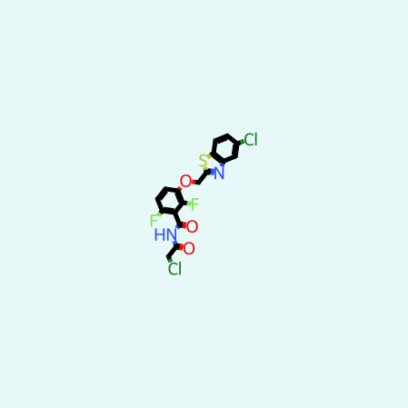 O=C(CCl)NC(=O)c1c(F)ccc(OCc2nc3cc(Cl)ccc3s2)c1F